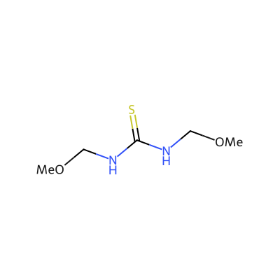 COCNC(=S)NCOC